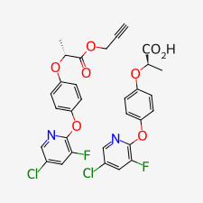 C#CCOC(=O)[C@@H](C)Oc1ccc(Oc2ncc(Cl)cc2F)cc1.C[C@@H](Oc1ccc(Oc2ncc(Cl)cc2F)cc1)C(=O)O